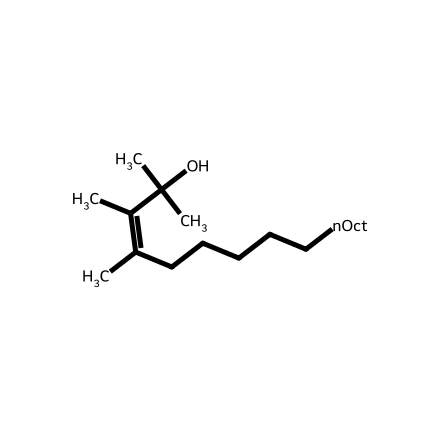 CCCCCCCCCCCCCC(C)=C(C)C(C)(C)O